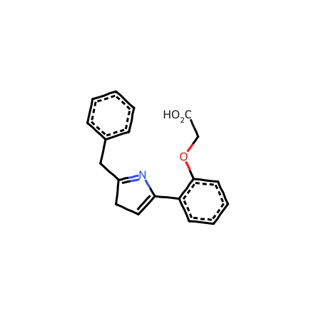 O=C(O)COc1ccccc1C1=CCC(Cc2ccccc2)=N1